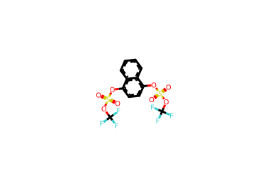 O=S(=O)(Oc1ccc(OS(=O)(=O)OC(F)(F)F)c2ccccc12)OC(F)(F)F